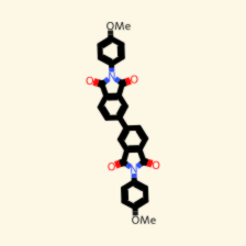 COc1ccc(N2C(=O)c3ccc(-c4ccc5c(c4)C(=O)N(c4ccc(OC)cc4)C5=O)cc3C2=O)cc1